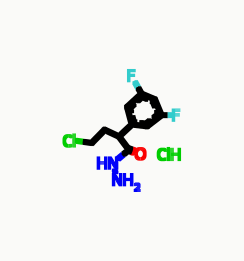 Cl.NNC(=O)C(CCCl)c1cc(F)cc(F)c1